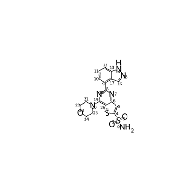 NS(=O)(=O)c1cc2nc(-c3cccc4[nH]ncc34)nc(N3CCOCC3)c2s1